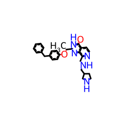 CC(Oc1ccc(Cc2ccccc2)cc1)c1nc2c(CNCC3CCNC3)nccc2c(=O)[nH]1